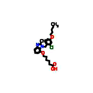 CCCCCOc1ccc(Cn2c(C)nc3cccc(OCCCCCC(=O)O)c32)c(Cl)c1